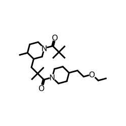 CCOCCC1CCN(C(=O)C(C)(C)CC2CN(C(=O)C(C)(C)C)CCC2C)CC1